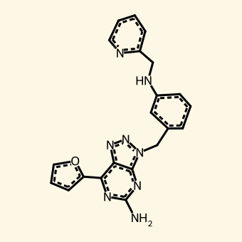 Nc1nc(-c2ccco2)c2nnn(Cc3cccc(NCc4ccccn4)c3)c2n1